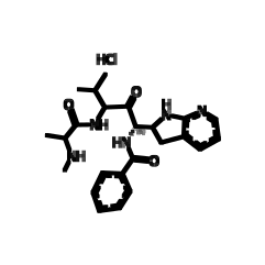 CNC(C)C(=O)NC(C(=O)[C@@H](NC(=O)c1ccccc1)C1Cc2cccnc2N1)C(C)C.Cl